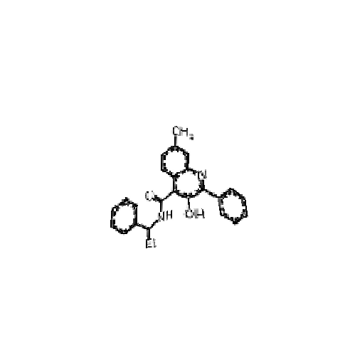 CCC(NC(=O)c1c(O)c(-c2ccccc2)nc2cc(C)ccc12)c1ccccc1